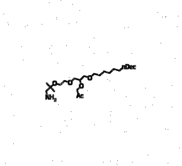 CCCCCCCCCCCCCCCCOCC(COCCOC(C)(C)CN)OCC(C)=O